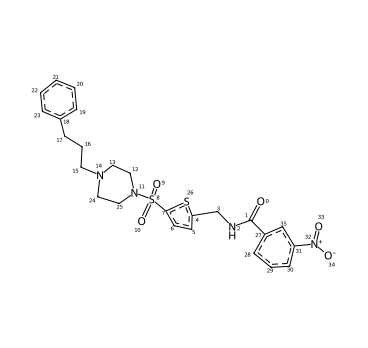 O=C(NCc1ccc(S(=O)(=O)N2CCN(CCCc3ccccc3)CC2)s1)c1cccc([N+](=O)[O-])c1